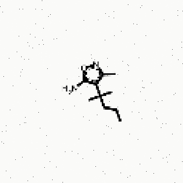 CCCC(C)(C)c1c(C)noc1N